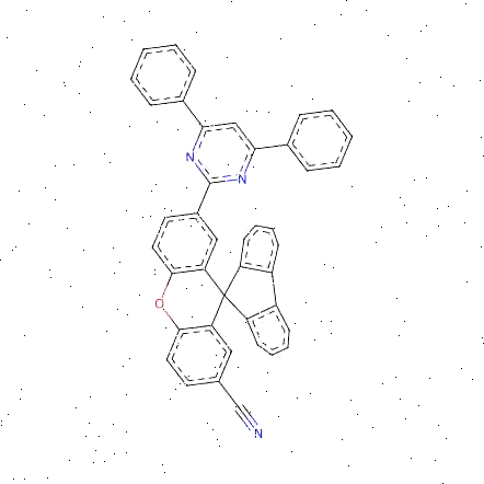 N#Cc1ccc2c(c1)C1(c3cc(-c4nc(-c5ccccc5)cc(-c5ccccc5)n4)ccc3O2)c2ccccc2-c2ccccc21